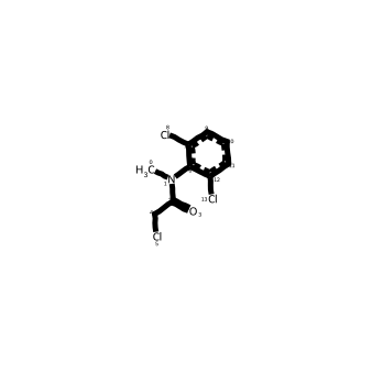 CN(C(=O)CCl)c1c(Cl)cccc1Cl